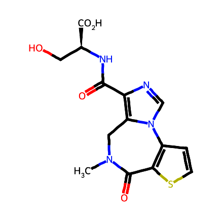 CN1Cc2c(C(=O)N[C@@H](CO)C(=O)O)ncn2-c2ccsc2C1=O